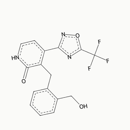 O=c1[nH]ccc(-c2noc(C(F)(F)F)n2)c1Cc1ccccc1CO